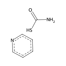 NC(=O)S.c1ccncc1